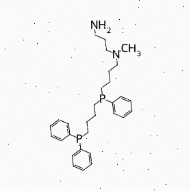 CN(CCCN)CCCCP(CCCCP(c1ccccc1)c1ccccc1)c1ccccc1